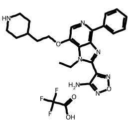 CCn1c(-c2nonc2N)nc2c(-c3ccccc3)ncc(OCCC3CCNCC3)c21.O=C(O)C(F)(F)F